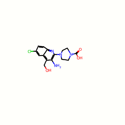 Nc1c(N2CCN(C(=O)O)CC2)nc2ccc(Cl)cc2c1CO